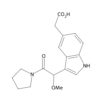 COC(C(=O)N1CCCC1)c1c[nH]c2ccc(CC(=O)O)cc12